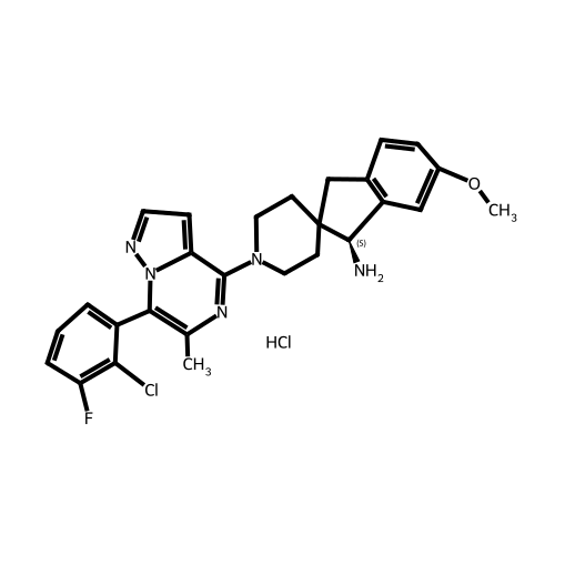 COc1ccc2c(c1)[C@@H](N)C1(CCN(c3nc(C)c(-c4cccc(F)c4Cl)n4nccc34)CC1)C2.Cl